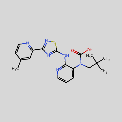 Cc1ccnc(-c2nsc(Nc3ncccc3N(CC(C)(C)C)C(=O)O)n2)c1